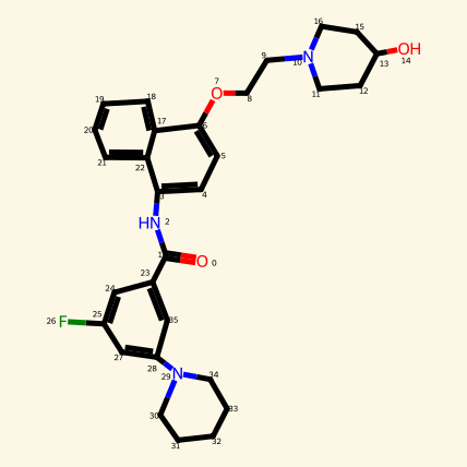 O=C(Nc1ccc(OCCN2CCC(O)CC2)c2ccccc12)c1cc(F)cc(N2CCCCC2)c1